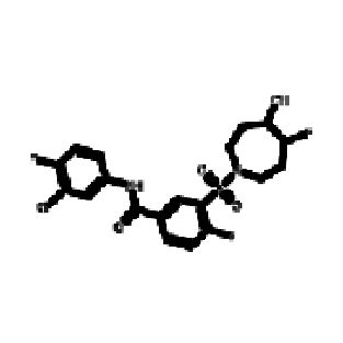 O=C(Nc1ccc(F)c(Cl)c1)c1ccc(F)c(S(=O)(=O)N2CCC(O)C(F)CC2)c1